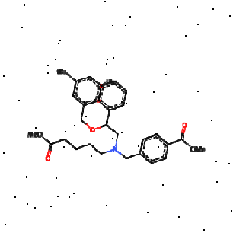 COC(=O)CCCCN(Cc1ccc(C(=O)OC)cc1)CC(OCc1cc(C(C)(C)C)cc(C(C)(C)C)c1)c1ccccc1